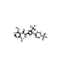 COc1ncnc(OC)c1C(=O)Nc1nc(C(F)(F)F)c(C2=CCN(S(C)(=O)=O)CC2)s1